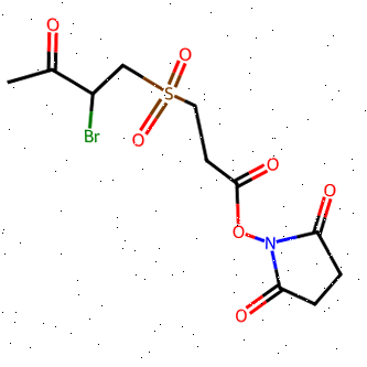 CC(=O)C(Br)CS(=O)(=O)CCC(=O)ON1C(=O)CCC1=O